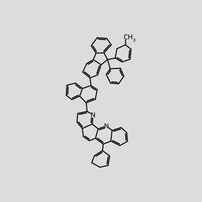 CC1C=CC=C(C2(c3ccccc3)c3ccccc3-c3ccc(-c4ccc(-c5ccc6ccc7c(C8=CCCC=C8)c8ccccc8nc7c6n5)c5ccccc45)cc32)C1